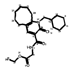 O=C(CNC(=O)c1cc2c(n(CC3CCCCC3)c1=O)CCCCCC2)OCF